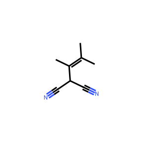 CC(C)=C(C)C(C#N)C#N